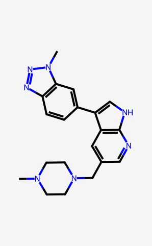 CN1CCN(Cc2cnc3[nH]cc(-c4ccc5nnn(C)c5c4)c3c2)CC1